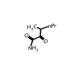 CCCC(C)C(=O)C(N)=O